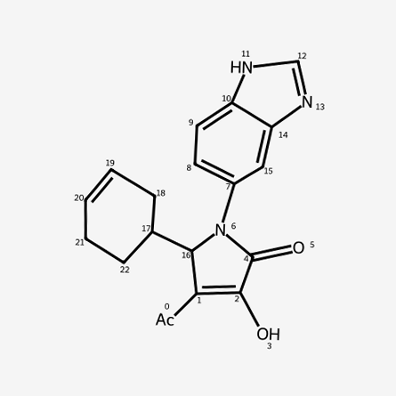 CC(=O)C1=C(O)C(=O)N(c2ccc3[nH]cnc3c2)C1C1CC=CCC1